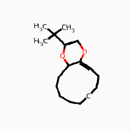 CC(C)(C)C1CO/C2=C/CCCCCCCCC2O1